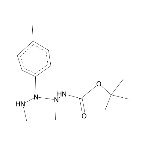 CNN(c1ccc(C)cc1)N(C)NC(=O)OC(C)(C)C